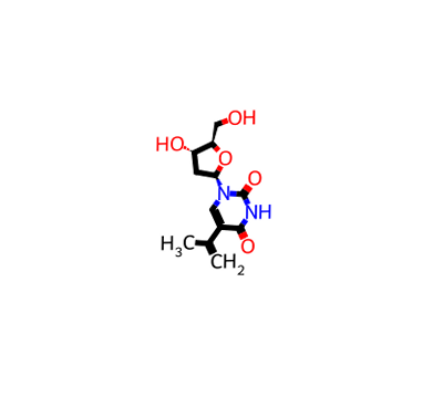 C=C(C)c1cn([C@H]2C[C@H](O)[C@@H](CO)O2)c(=O)[nH]c1=O